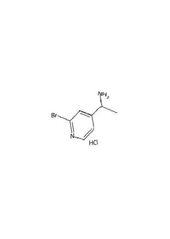 CC(N)c1ccnc(Br)c1.Cl